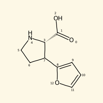 O=C(O)[C@H]1NCCC1c1ccco1